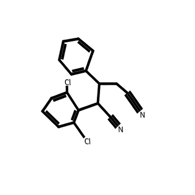 N#CCC(c1ccccc1)C(C#N)c1c(Cl)cccc1Cl